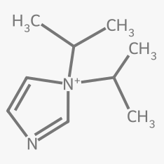 CC(C)[N+]1(C(C)C)C=CN=C1